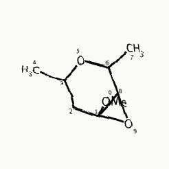 COC12CC(C)OC(C)C1O2